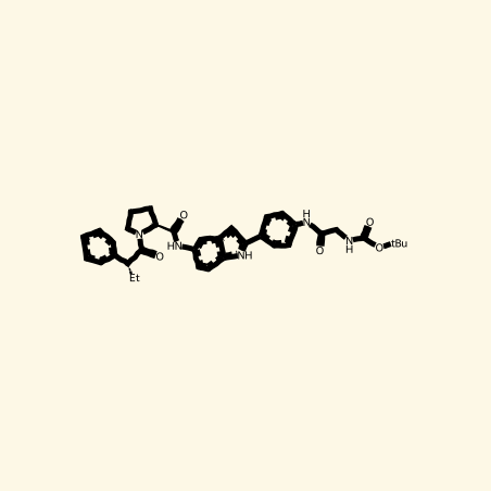 CC[C@@H](C(=O)N1CCC[C@H]1C(=O)Nc1ccc2[nH]c(-c3ccc(NC(=O)CNC(=O)OC(C)(C)C)cc3)cc2c1)c1ccccc1